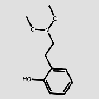 CON(CCc1ccccc1O)OC